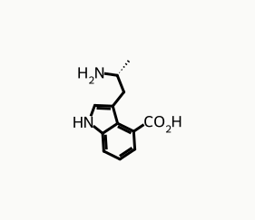 C[C@@H](N)Cc1c[nH]c2cccc(C(=O)O)c12